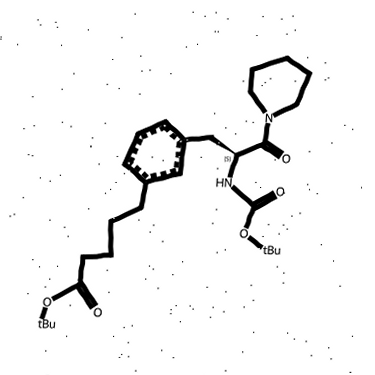 CC(C)(C)OC(=O)CCCCc1cccc(C[C@H](NC(=O)OC(C)(C)C)C(=O)N2CCCCC2)c1